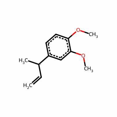 C=C[C](C)c1ccc(OC)c(OC)c1